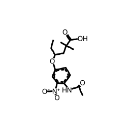 CCC(CC(C)(C)C(=O)O)Oc1ccc(NC(C)=O)c([N+](=O)[O-])c1